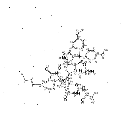 CCC=CC1c2ccc3c(c21)C(=O)N(O[C@@H]1[C@H](O)[C@@H](C(OP(N)O)C(c2ccccc2)(c2ccc(OC)cc2)c2ccc(OC)cc2)O[C@H]1n1cnc2c(=O)[nH]c(NC(=O)C(C)C)nc21)C3=O